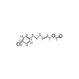 O=[C]OCC=CCCCc1ccc(Cl)cc1